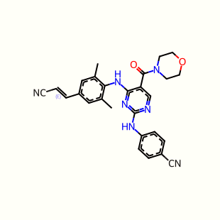 Cc1cc(/C=C/C#N)cc(C)c1Nc1nc(Nc2ccc(C#N)cc2)ncc1C(=O)N1CCOCC1